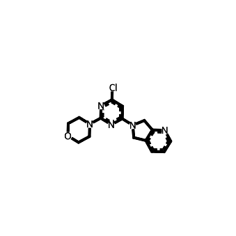 Clc1cc(N2Cc3cccnc3C2)nc(N2CCOCC2)n1